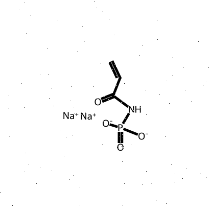 C=CC(=O)NP(=O)([O-])[O-].[Na+].[Na+]